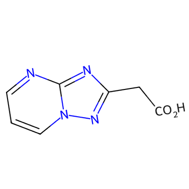 O=C(O)Cc1nc2ncccn2n1